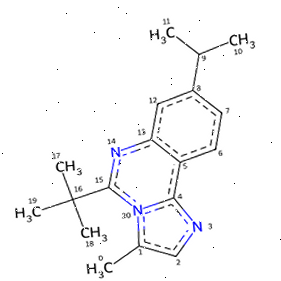 Cc1cnc2c3ccc(C(C)C)cc3nc(C(C)(C)C)n12